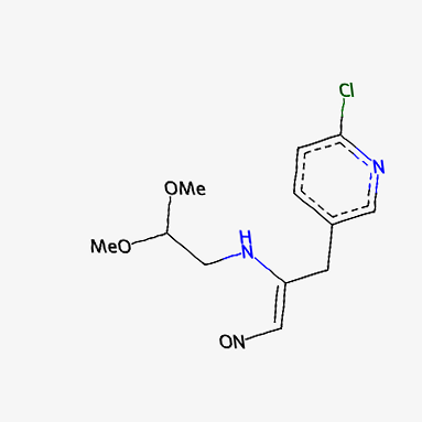 COC(CN/C(=C\N=O)Cc1ccc(Cl)nc1)OC